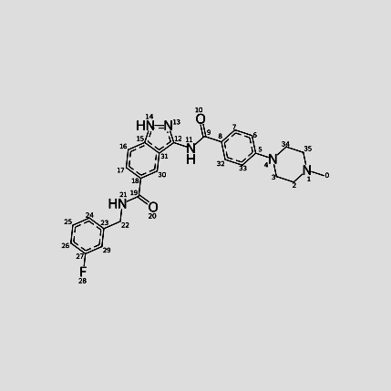 CN1CCN(c2ccc(C(=O)Nc3n[nH]c4ccc(C(=O)NCc5cccc(F)c5)cc34)cc2)CC1